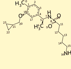 Cc1ccc([C@H](C)NS(=O)(=O)CCCCCN)cc1OCC1CC1